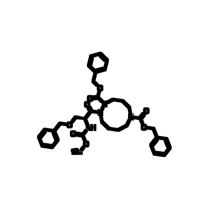 CC(C)(C)OC(=O)N[C@@H](COCc1ccccc1)C(=O)N1CCCCN(C(=O)OCc2ccccc2)CCCN1C(=O)OCc1ccccc1